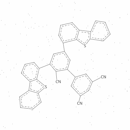 N#Cc1cc(C#N)cc(-c2cc(-c3cccc4c3sc3ccccc34)cc(-c3cccc4c3sc3ccccc34)c2C#N)c1